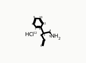 C=CCC(CN)c1ccccc1.Cl